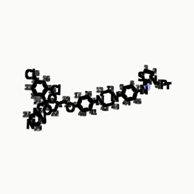 CC(C)n1ccs/c1=N\c1ccc(N2CCN(c3ccc(OCC4COC(Cn5cncn5)(c5ccc(Cl)cc5Cl)O4)cc3)CC2)cc1